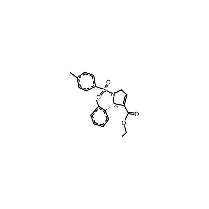 CCOC(=O)C1=CCN(S(=O)(=O)c2ccc(C)cc2)[C@H]1c1ccccc1C